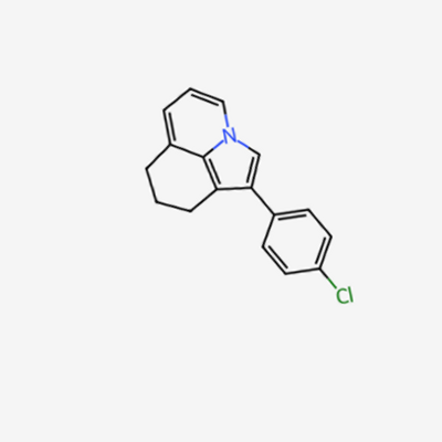 Clc1ccc(-c2cn3cccc4c3c2CCC4)cc1